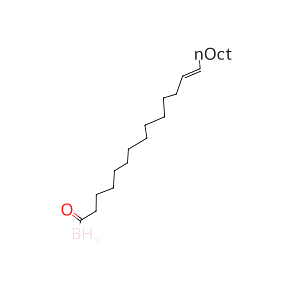 BC(=O)CCCCCCCCCCCC=CCCCCCCCC